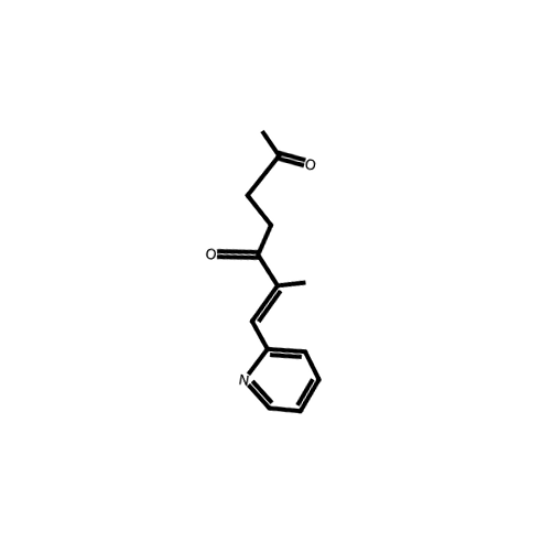 CC(=O)CCC(=O)/C(C)=C/c1ccccn1